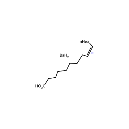 CCCCCC/C=C\CCCCCCCC(=O)O.[BaH2]